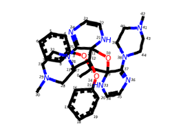 CC(Oc1ccccc1)C1(OC2(C(C)Oc3ccccc3)NC=CN=C2N2CCN(C)CC2)NC=CN=C1N1CCN(C)CC1